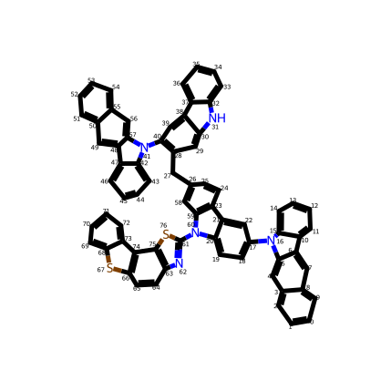 c1ccc2cc3c(cc2c1)c1ccccc1n3-c1ccc2c(c1)c1ccc(Cc3cc4[nH]c5ccccc5c4cc3-n3c4ccccc4c4cc5ccccc5cc43)cc1n2-c1nc2ccc3sc4ccccc4c3c2s1